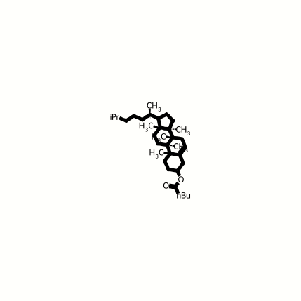 CCCCC(=O)OC1CC[C@@]2(C)C(=CC[C@]3(C)[C@]2(C)CC[C@]2(C)C([C@H](C)CCCC(C)C)CC[C@@]32C)C1